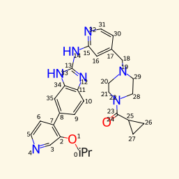 CC(C)Oc1cnccc1-c1ccc2nc(Nc3cc(CN4CCN(C(=O)C5CC5)CC4)ccn3)[nH]c2c1